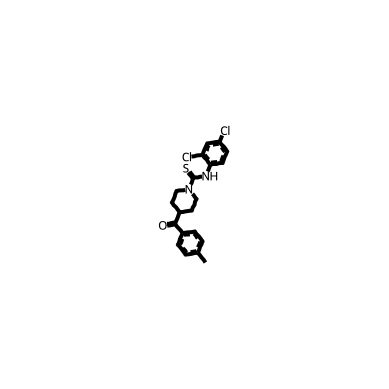 Cc1ccc(C(=O)C2CCN(C(=S)Nc3ccc(Cl)cc3Cl)CC2)cc1